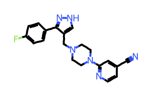 N#Cc1ccnc(N2CCN(Cc3c[nH]nc3-c3ccc(F)cc3)CC2)c1